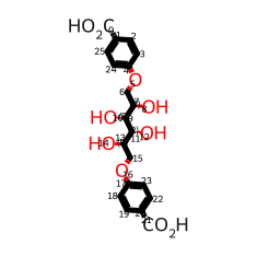 O=C(O)c1ccc(OC[C@@H](O)[C@@H](O)[C@H](O)[C@H](O)COc2ccc(C(=O)O)cc2)cc1